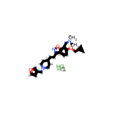 CN(C)Cc1c(OCC2CC2)ccc2c(CCC3CCN(Cc4ccoc4)CC3)noc12.Cl.Cl